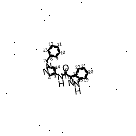 O=C(Nc1cnn(Cc2ccccc2)c1)c1n[nH]c2ccccc12